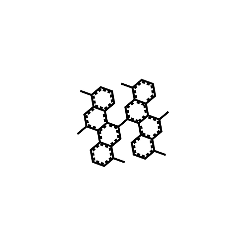 Cc1cccc2c1cc(-c1cc3c(C)cccc3c3c(C)cc4c(C)cccc4c13)c1c3cccc(C)c3cc(C)c21